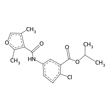 Cc1coc(C)c1C(=O)Nc1ccc(Cl)c(C(=O)OC(C)C)c1